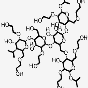 CC(C)O[C@@H]1OC(COCCO)[C@@H](OCC2O[C@@H](O[C@H]3C(COCCO)O[C@@H](OC(C)C)[C@@H](OCCO)[C@H]3O)C(O)[C@@H](O)[C@H]2O[C@@H]2OC(CO)[C@H](O[C@@H]3OC(COCCO)[C@@H](C(C)C)[C@H](O)[C@@H]3OCCO)[C@H](O)C2OCCO)[C@H](O)C1OCCO